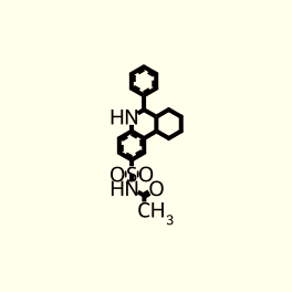 CC(=O)NS(=O)(=O)c1ccc2c(c1)C1CCCCC1C(c1ccccc1)N2